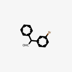 O=CC(c1ccccc1)c1cccc(Br)c1